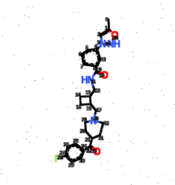 CC1=CN(c2cccc(C(=O)NCC3CCC3CN3CCC(C(=O)c4ccc(F)cc4)CC3)c2)NO1